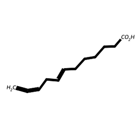 C=C=CCC=CCCCCCC(=O)O